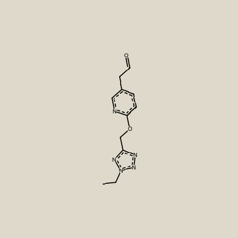 CCn1nnc(COc2ccc(CC=O)cn2)n1